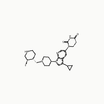 O=C1CCN(c2cnc3c(c2)c(C2CC2)cn3C2CCN(C[C@H]3CCNC[C@@H]3F)CC2)C(=O)N1